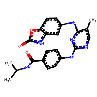 Cc1cnc(Nc2ccc(C(=O)NC(C)C)cc2)nc1Nc1ccc2oc(=O)[nH]c2c1